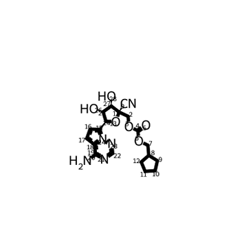 N#C[C@]1(COC(=O)OCC2CCCC2)O[C@@H](c2ccc3c(N)ncnn23)[C@H](O)[C@@H]1O